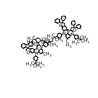 Cc1cc2c3c(c1)N(c1ccc(C(C)(C)CCC(C)(C)c4ccc(N5c6cc(C)cc7c6B(c6cc8c(cc6N7c6ccc(C(C)(C)C)cc6)OCC86c7ccccc7-c7ccccc76)c6oc7c(c65)C(C)(C)CCC7(C)C)cc4)cc1)c1cc4c(cc1B3C1=C(OC(c3ccccc3)(c3ccccc3)C1)N2c1ccc(C(C)(C)C)cc1)CC(c1ccccc1)(c1ccccc1)O4